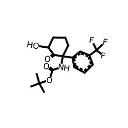 CC(C)(C)OC(=O)NC1(c2cccc(C(F)(F)F)c2)CCCC(O)C1=O